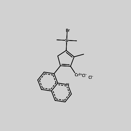 CC1=C([Si](C)(C)Br)CC(c2cccc3cccnc23)=[C]1[Cr+2].[Cl-].[Cl-]